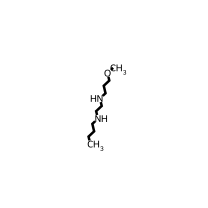 CCCCNCCNCCCOC